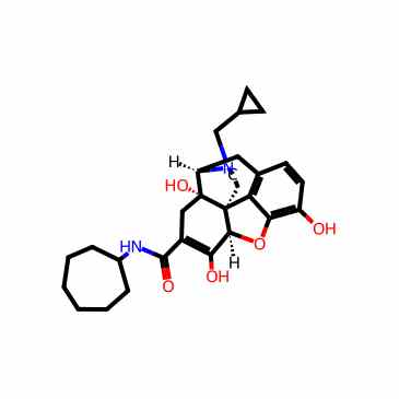 O=C(NC1CCCCCC1)C1=C(O)[C@@H]2Oc3c(O)ccc4c3[C@@]23CCN(CC2CC2)[C@H](C4)[C@]3(O)C1